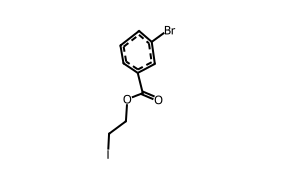 O=C(OCCI)c1cccc(Br)c1